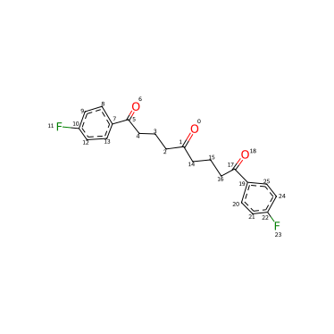 O=C(CCCC(=O)c1ccc(F)cc1)CCCC(=O)c1ccc(F)cc1